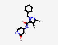 Cc1nn(CC2CCCCC2)c(C(=O)Nc2cc[nH]c(=O)c2)c1C